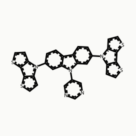 c1ncc(-n2c3cc(-n4c5ccsc5c5sccc54)ccc3c3ccc(-n4c5ccsc5c5sccc54)cc32)cn1